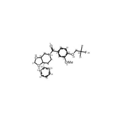 COc1cc(C(=O)N2CC[C@@]3(c4ncccn4)OCOC3C2)ccc1OCC(C)(C)F